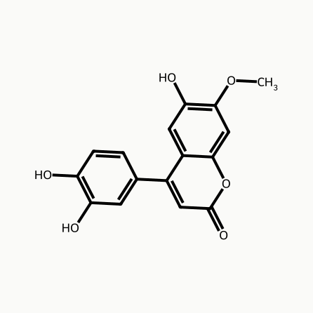 COc1cc2oc(=O)cc(-c3ccc(O)c(O)c3)c2cc1O